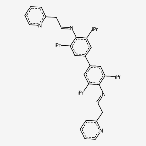 CC(C)c1cc(-c2cc(C(C)C)c(N=CCc3ccccn3)c(C(C)C)c2)cc(C(C)C)c1N=CCc1ccccn1